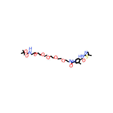 Cc1cnc(NC(=O)c2ccc(C(=O)NCCOCCOCCOCCOCCOCCNC(=O)OC(C)(C)C)cc2C)s1